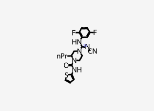 CCCC1CN(/C(=N\C#N)Nc2cc(F)ccc2F)CCN1C(=O)Nc1cccs1